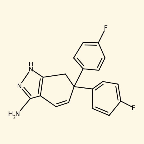 Nc1n[nH]c2c1C=CC(c1ccc(F)cc1)(c1ccc(F)cc1)C2